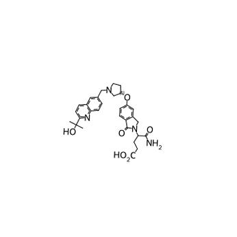 CC(C)(O)c1ccc2cc(CN3CC[C@H](Oc4ccc5c(c4)CN(C(CCC(=O)O)C(N)=O)C5=O)C3)ccc2n1